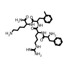 Cc1ccccc1CC(NC(=O)C(CCCNC(=N)N)NC(=O)C(N)Cc1ccccc1)C(=O)NC(CCCCN)C(N)=O